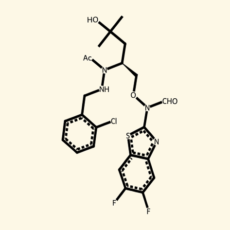 CC(=O)N(NCc1ccccc1Cl)[C@H](CON(C=O)c1nc2cc(F)c(F)cc2s1)CC(C)(C)O